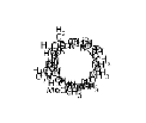 C/C=C/C[C@@H](C)[C@@H](O)[C@H]1C(=O)N[C@@H](CC)C(=O)N(C)[C@H](CC(CN(C)C)[N+](=O)[O-])C(=O)N(C)[C@@H](CC(C)(C)OC)C(=O)N[C@@H](C(C)C)C(=O)N(C)[C@@H](CC(C)C)C(=O)N[C@@H](C)C(=O)N[C@H](C)C(=O)N(C)[C@@H](CC(C)C)C(=O)N(C)[C@@H](CC(C)C)C(=O)N(C)[C@@H](C(C)C)C(=O)N1C